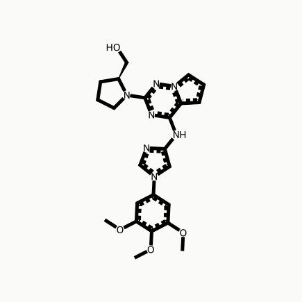 COc1cc(-n2cnc(Nc3nc(N4CCC[C@H]4CO)nn4cccc34)c2)cc(OC)c1OC